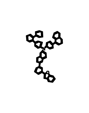 c1ccc(-c2ccccc2-c2ccc(N(c3ccc(-c4cccc5ccccc45)cc3)c3ccc4cc(-c5cccc(-c6cc7ccccc7o6)c5)ccc4c3)cc2)cc1